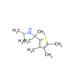 Cc1sc(C(C)(C)NC(C)C)c(C)c1C